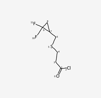 O=C(Cl)CCSCC1CC1(F)F